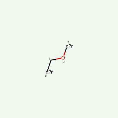 CC[CH]COCCC